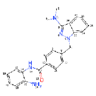 CN(C)c1nn(Cc2ccc(C(=O)Nc3ccccc3N)cc2)c2ccccc12